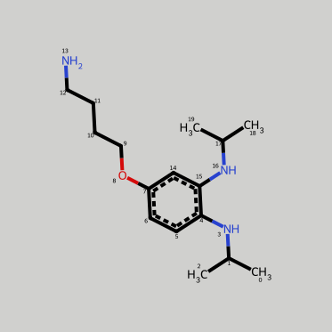 CC(C)Nc1ccc(OCCCCN)cc1NC(C)C